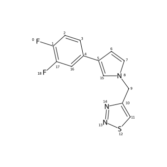 Fc1ccc(-c2ccn(Cc3csnn3)c2)cc1F